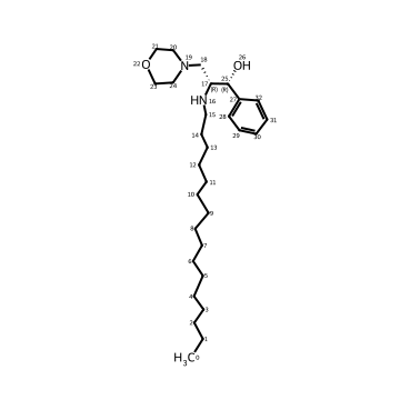 CCCCCCCCCCCCCCCCN[C@H](CN1CCOCC1)[C@H](O)c1ccccc1